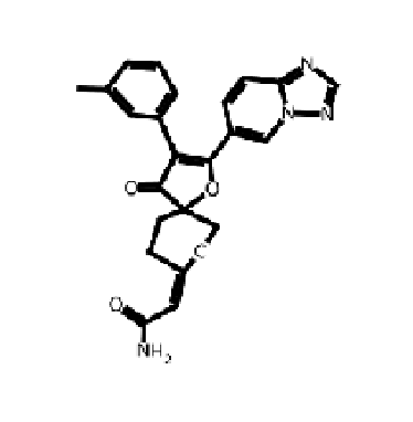 Cc1cccc(C2=C(c3ccc4ncnn4c3)OC3(CCC(=CC(N)=O)CC3)C2=O)c1